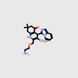 CCOC(=O)C1=C(COCCN)NC2=C(C(=O)CC(C)(C)C2)C1c1ncc2ccccn12